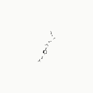 CCCCOC(C)OC(F)(F)C(F)(F)Oc1cnc(-c2ccc(OC(=O)C(Cl)CC(C)C)cc2)nc1